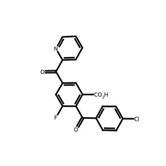 O=C(c1cc(F)c(C(=O)c2ccc(Cl)cc2)c(C(=O)O)c1)c1ccccn1